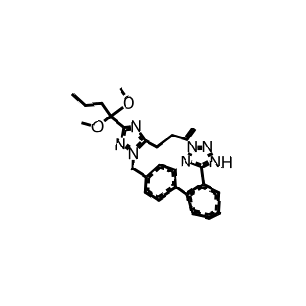 C=CCCc1nc(C(CCC)(OC)OC)nn1Cc1ccc(-c2ccccc2-c2nnn[nH]2)cc1